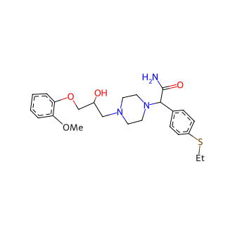 CCSc1ccc(C(C(N)=O)N2CCN(CC(O)COc3ccccc3OC)CC2)cc1